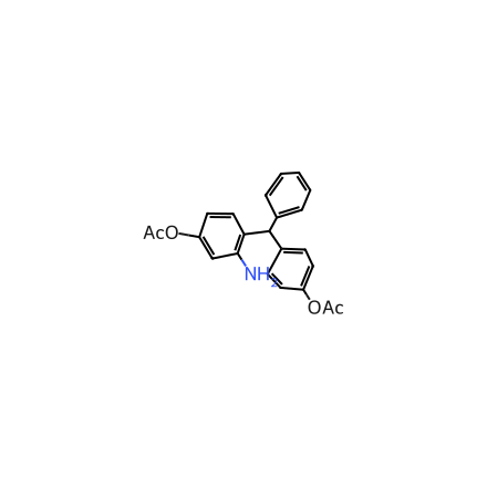 CC(=O)Oc1ccc(C(c2ccccc2)c2ccc(OC(C)=O)cc2N)cc1